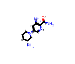 NC(=O)c1ncc(N2CCC[C@@H](N)C2)cc1N